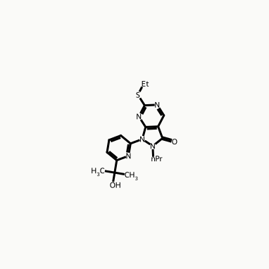 CCCn1c(=O)c2cnc(SCC)nc2n1-c1cccc(C(C)(C)O)n1